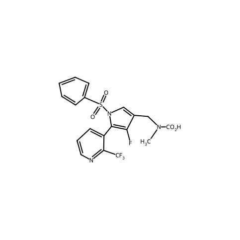 CN(Cc1cn(S(=O)(=O)c2ccccc2)c(-c2cccnc2C(F)(F)F)c1F)C(=O)O